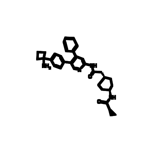 NC1(c2ccc(-c3cnc(NC(=O)C[C@H]4CC[C@H](NC(=O)C5CC5)CC4)cc3-c3ccccc3)cc2)CCC1